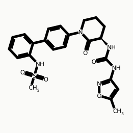 Cc1cc(NC(=O)N[C@@H]2CCCN(c3ccc(-c4ccccc4NS(C)(=O)=O)cc3)C2=O)no1